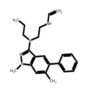 C=CNCCN(CCC)c1nn(C)c2cc(C)c(-c3ccccc3)cc12